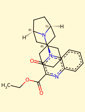 CCOC(=O)c1nc2ccccc2n([C@H]2C[C@H]3CC[C@@H](C2)N3C2CCCCC2)c1=O